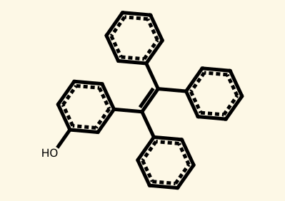 Oc1cccc(C(=C(c2ccccc2)c2ccccc2)c2ccccc2)c1